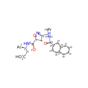 CC(=O)[C@H](CC(=O)O)NC(=O)C1CC([C@@H](NC(=O)c2ccc3ccccc3c2)C(C)C)=NO1